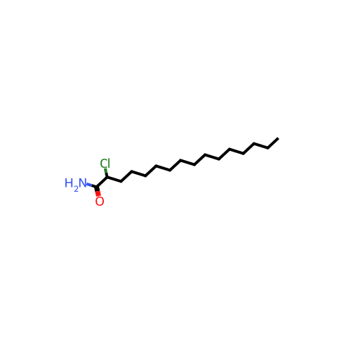 CCCCCCCCCCCCCCC(Cl)C(N)=O